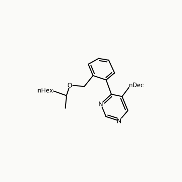 CCCCCCCCCCc1cncnc1-c1ccccc1COC(C)CCCCCC